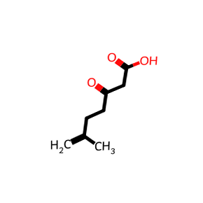 C=C(C)CCC(=O)CC(=O)O